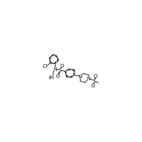 CC(C)CN(c1ccccc1Cl)S(=O)(=O)c1ccc(N2CCN(S(C)(=O)=O)CC2)cc1